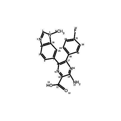 Cn1cnc2ccc(-c3nc(C(=O)O)c(N)nc3-c3ccc(F)cc3)cc21